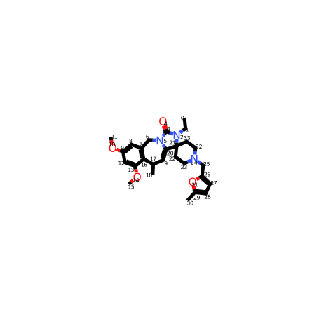 CCN1C(=O)N2Cc3cc(OC)cc(OC)c3C(C)C=C2C12CCN(Cc1ccc(C)o1)CC2